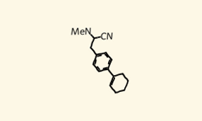 CNC(C#N)Cc1ccc(C2=CCCCC2)cc1